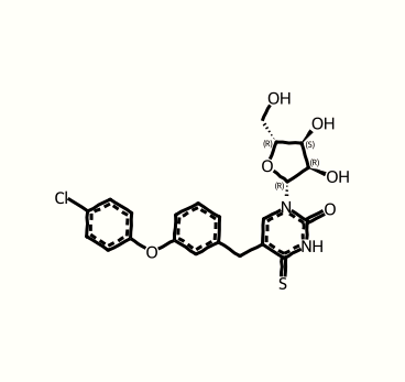 O=c1[nH]c(=S)c(Cc2cccc(Oc3ccc(Cl)cc3)c2)cn1[C@@H]1O[C@H](CO)[C@@H](O)[C@H]1O